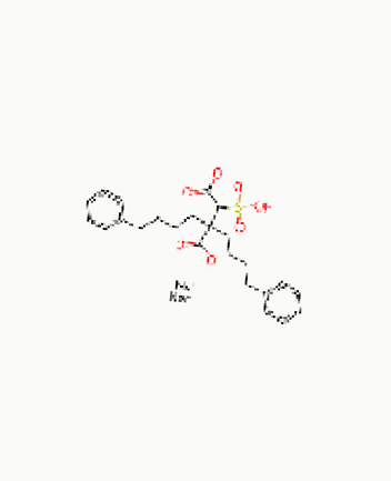 O=C([O-])C(C(CCCCc1ccccc1)(CCCCc1ccccc1)C(=O)[O-])S(=O)(=O)O.[Na+].[Na+]